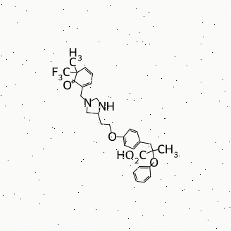 CC(Cc1ccc(OCCC2CN(CC3=CC=CC(C)(C(F)(F)F)C3=O)CN2)cc1)(Oc1ccccc1)C(=O)O